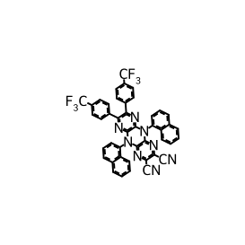 N#Cc1nc2c(nc1C#N)N(c1cccc3ccccc13)c1nc(-c3ccc(C(F)(F)F)cc3)c(-c3ccc(C(F)(F)F)cc3)nc1N2c1cccc2ccccc12